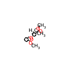 CCOC(=O)c1ccccc1COc1ccc(C(C)(C)C(=O)OCC)cc1